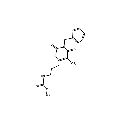 Cc1c(CCCNC(=O)OC(C)(C)C)[nH]c(=O)n(Cc2ccccc2)c1=O